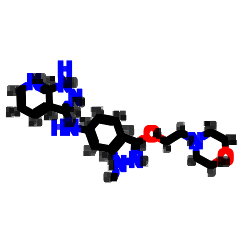 Cn1nc(OCCN2CCOCC2)c2ccc(Nc3n[nH]c4ncccc34)cc21